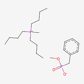 CCCC[P+](C)(CCCC)CCCC.COP(=O)([O-])Cc1ccccc1